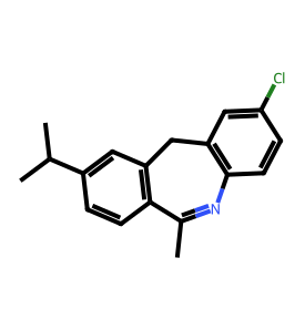 CC1=Nc2ccc(Cl)cc2Cc2cc(C(C)C)ccc21